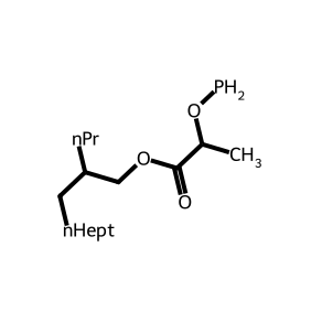 CCCCCCCCC(CCC)COC(=O)C(C)OP